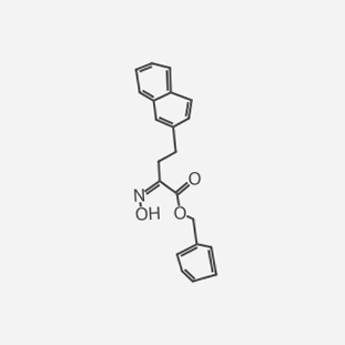 O=C(OCc1ccccc1)/C(CCc1ccc2ccccc2c1)=N\O